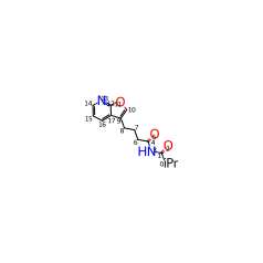 CC(C)C(=O)NC(=O)CCCc1coc2ncccc12